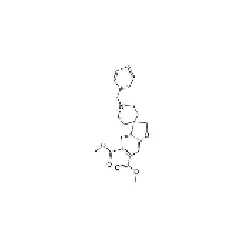 COC(=O)c1cc2c(cc1C(=O)OC)C1(CCN(Cc3ccccc3)CC1)CO2